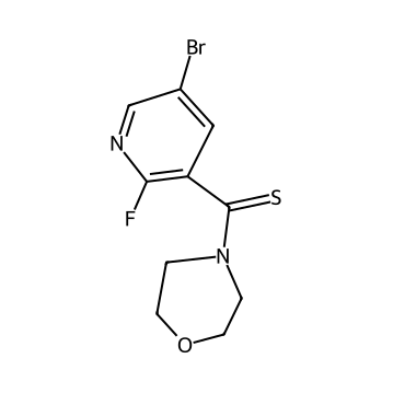 Fc1ncc(Br)cc1C(=S)N1CCOCC1